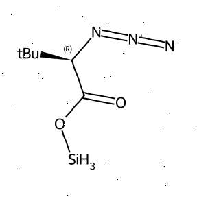 CC(C)(C)[C@@H](N=[N+]=[N-])C(=O)O[SiH3]